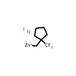 FC(F)(F)C1([CH2][Zn+])CCCC1.[I-].[N]